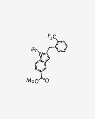 COC(=O)c1ccc2c(c1)cc(Cc1ccccc1C(F)(F)F)n2C(C)C